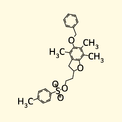 Cc1ccc(S(=O)(=O)OCCC2Cc3c(C)c(OCc4ccccc4)c(C)c(C)c3O2)cc1